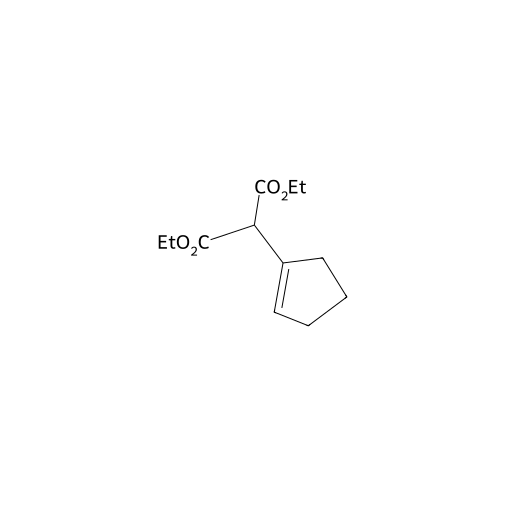 CCOC(=O)C(C(=O)OCC)C1=CCCC1